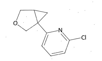 Clc1cccc(C23COCC2C3)n1